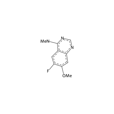 CNc1ncnc2cc(OC)c(F)cc12